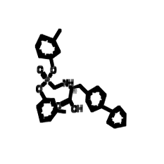 Cc1cccc(OP(=O)(CN[C@@H](Cc2ccc(-c3ccccc3)cc2)C(=O)O)Oc2cccc(C)c2)c1